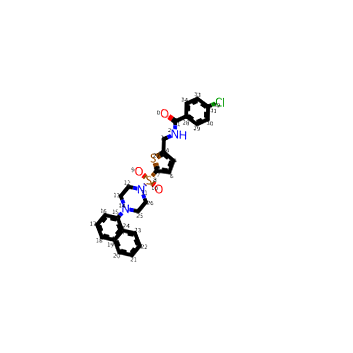 O=C(NCc1ccc(S(=O)(=O)N2CCN(c3cccc4ccccc34)CC2)s1)c1ccc(Cl)cc1